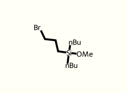 CCCC[Si](CCCC)(CCCBr)OC